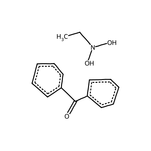 CCN(O)O.O=C(c1ccccc1)c1ccccc1